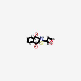 O=C1c2ccccc2C(=O)c2sc(-c3ccoc3)nc21